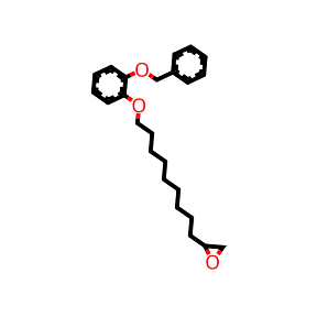 c1ccc(COc2ccccc2OCCCCCCCCCC2CO2)cc1